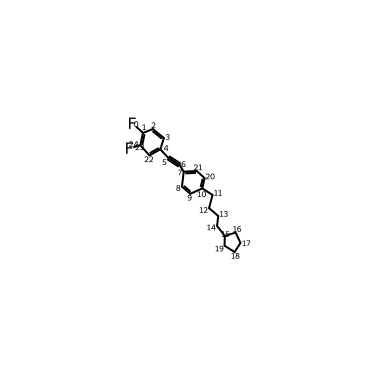 Fc1ccc(C#Cc2ccc(CCCCC3CCCC3)cc2)cc1F